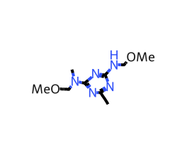 COCNc1nc(C)nc(N(C)COC)n1